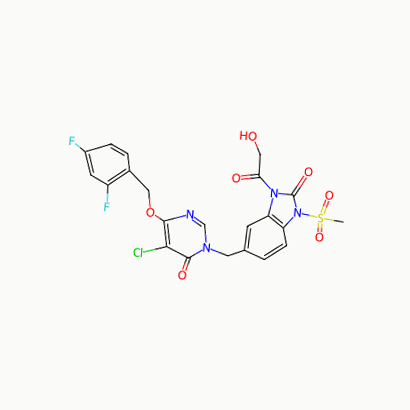 CS(=O)(=O)n1c(=O)n(C(=O)CO)c2cc(Cn3cnc(OCc4ccc(F)cc4F)c(Cl)c3=O)ccc21